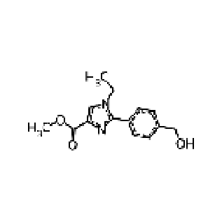 CCn1cc(C(=O)OC)nc1-c1ccc(CO)cc1